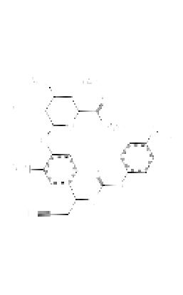 C#CCC(OC(=O)Oc1ccc([N+](=O)[O-])cc1)c1ccc(O[C@@H]2OC(C(=O)OC)[C@@H](OC(C)=O)[C@H](OC(C)=O)C2OC(C)=O)c([N+](=O)[O-])c1